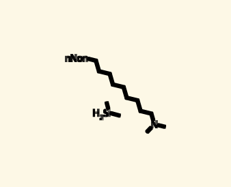 CCCCCCCCCCCCCCCCCCN(C)C.C[SiH2]C